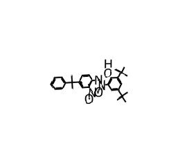 CC(C)(C)c1cc(N=Nc2ccc(C(C)(C)c3ccccc3)cc2[N+](=O)[O-])c(O)c(C(C)(C)C)c1